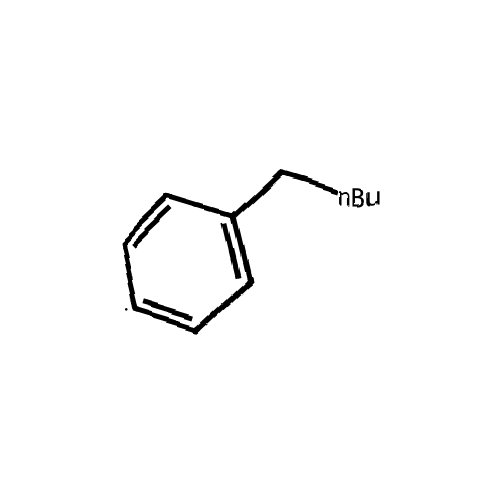 CCCCCc1cc[c]cc1